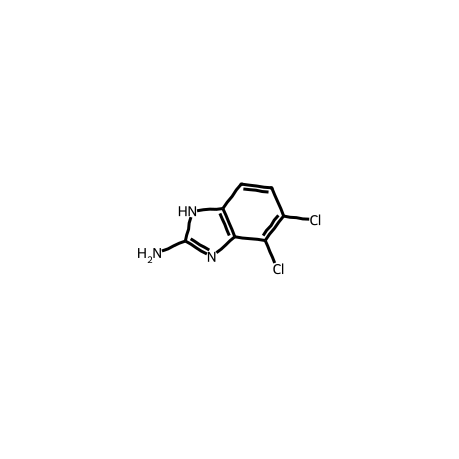 Nc1nc2c(Cl)c(Cl)ccc2[nH]1